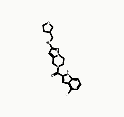 O=C(c1cc2c(Cl)cccc2[nH]1)N1CCn2nc(NCC3CCOC3)cc2C1